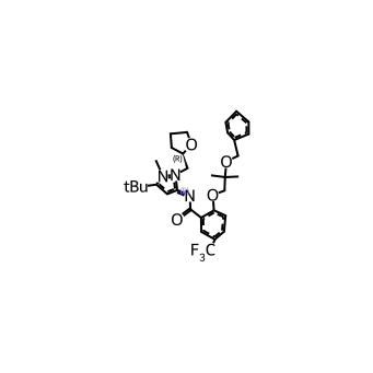 Cn1c(C(C)(C)C)c/c(=N\C(=O)c2cc(C(F)(F)F)ccc2OCC(C)(C)OCc2ccccc2)n1C[C@H]1CCCO1